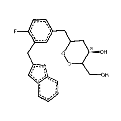 OCC1OOC(Cc2ccc(F)c(Cc3cc4ccccc4s3)c2)C[C@H]1O